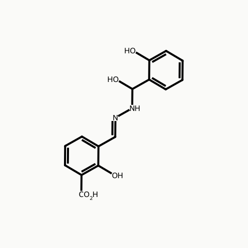 O=C(O)c1cccc(/C=N/NC(O)c2ccccc2O)c1O